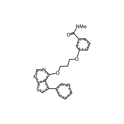 CNC(=O)c1cccc(OCCCOc2ncnc3scc(-c4cccnc4)c23)c1